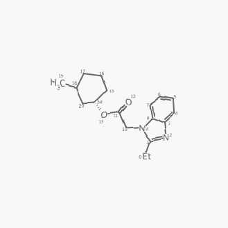 CCc1nc2ccccc2n1CC(=O)O[C@H]1CCCC(C)C1